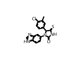 Cc1cc(C2C(=S)NC(=O)N2c2ccc3[nH]cnc3c2)ccc1Cl